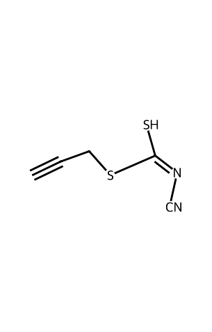 C#CCS/C(S)=N\C#N